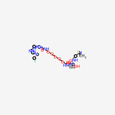 Cc1ncsc1-c1ccc(CNC(=O)[C@@H]2C[C@@H](O)CN2C(=O)C(NC(=O)CCOCCOCCOCCOCCOCCNC(=O)CN2CCN(c3cccc(-c4cnc5ccc(N6CCC[C@@H]6c6cccc(F)c6)nn45)n3)CC2)C(C)(C)C)cc1